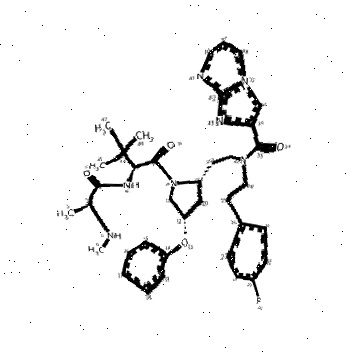 CN[C@@H](C)C(=O)N[C@H](C(=O)N1C[C@@H](Oc2ccccc2)C[C@H]1CN(CCc1ccc(F)cc1)C(=O)c1cn2cccnc2n1)C(C)(C)C